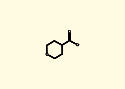 [O]C(=O)C1CCOCC1